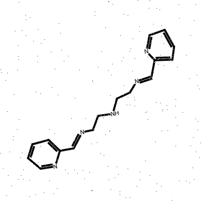 C(=NCCNCCN=Cc1ccccn1)c1ccccn1